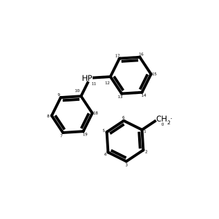 [CH2]c1ccccc1.c1ccc(Pc2ccccc2)cc1